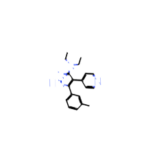 CCN(CC)c1n[nH]c(-c2cccc(C)c2)c1-c1ccncc1